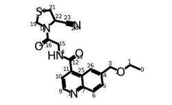 CCOCc1ccc2nccc(C(=O)NCC(=O)N3CSCC3C#N)c2c1